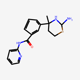 CC1(c2cccc(C(=O)Nc3ccccn3)c2)CCSC(N)N1